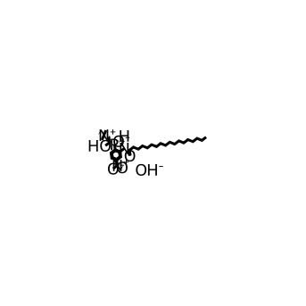 CCCCCCCCCCCCCCCCCC(=O)Nc1cc([N+](=O)[O-])ccc1/[P+]([O-])=C(\O)C[N+](C)(C)C.[OH-]